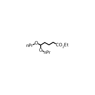 CCCOC(CCCC(=O)OCC)OCCC